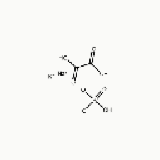 O=C(O)C(=O)O.O=P([O-])([O-])O.[K+].[Na+]